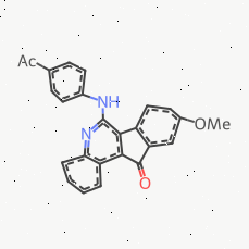 COc1ccc2c(c1)C(=O)c1c-2c(Nc2ccc(C(C)=O)cc2)nc2ccccc12